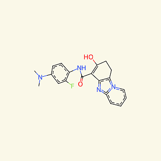 CN(C)c1ccc(NC(=O)C2=C(O)CCc3c2nc2ccccn32)c(F)c1